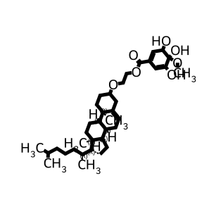 COC1(O)C(O)=CC(C(=O)OCCOC2CC[C@@]3(C)C(=CC[C@H]4[C@@H]5CC[C@H]([C@H](C)CCCC(C)C)[C@@]5(C)CC[C@@H]43)C2)=CC1O